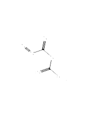 N=NC(=N)NC(=N)N